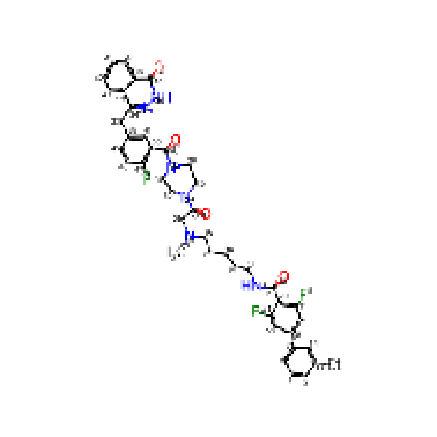 CCc1cccc(-c2cc(F)c(C(=O)NCCCCCN(C)CC(=O)N3CCN(C(=O)c4cc(Cc5n[nH]c(=O)c6ccccc56)ccc4F)CC3)c(F)c2)c1